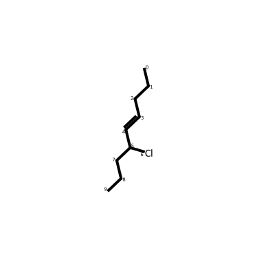 CCCC=CC(Cl)CCC